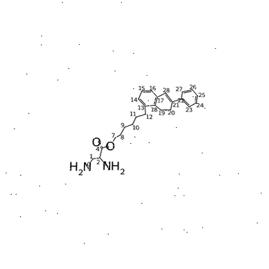 NCC(N)C(=O)OCCCCCCc1cccc2c1CCC(c1ccccc1)=C2